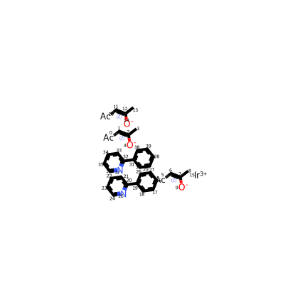 CC(=O)/C=C(/C)[O-].CC(=O)/C=C(/C)[O-].CC(=O)/C=C(/C)[O-].[Ir+3].c1ccc(-c2ccccn2)cc1.c1ccc(-c2ccccn2)cc1